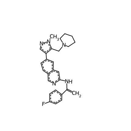 C=C(Nc1cc2cc(-c3cnn(C)c3CN3CCCCC3)ccc2cn1)c1ccc(F)cc1